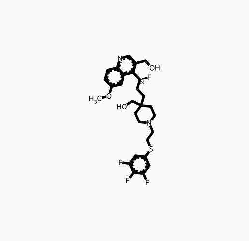 COc1ccc2ncc(CO)c([C@@H](F)CCC3(CO)CCN(CCSc4cc(F)c(F)c(F)c4)CC3)c2c1